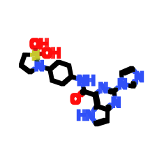 O=C(NC1CCC(N2CCCS2(O)O)CC1)c1nc(-n2ccnc2)nc2cc[nH]c12